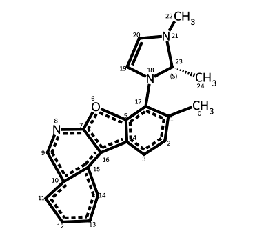 Cc1ccc2c(oc3ncc4ccccc4c32)c1N1C=CN(C)[C@@H]1C